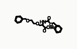 COC(=O)C(COCCOCc1ccccc1)NC(=O)OCc1ccccc1